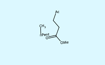 CCCCCC.COC(=O)CCC(C)=O